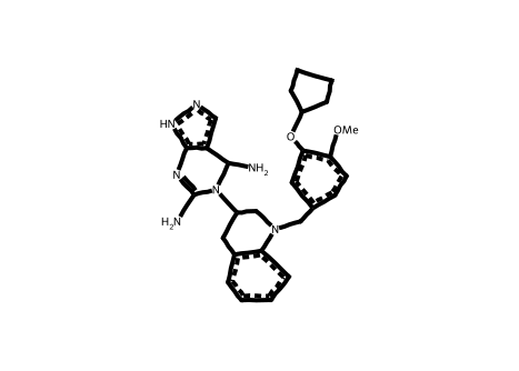 COc1ccc(CN2CC(N3C(N)=Nc4[nH]ncc4C3N)Cc3ccccc32)cc1OC1CCCC1